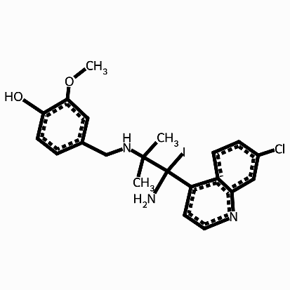 COc1cc(CNC(C)(C)C(N)(I)c2ccnc3cc(Cl)ccc23)ccc1O